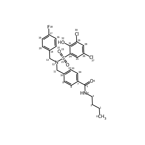 CCCCNC(=O)c1ccc(CN(Cc2ccc(F)cc2)S(=O)(=O)c2cc(Cl)cc(Cl)c2O)cc1